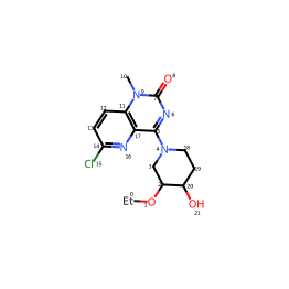 CCOC1CN(c2nc(=O)n(C)c3ccc(Cl)nc23)CCC1O